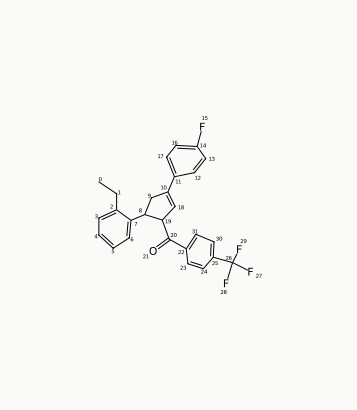 CCc1ccccc1C1CC(c2ccc(F)cc2)=CC1C(=O)c1ccc(C(F)(F)F)cc1